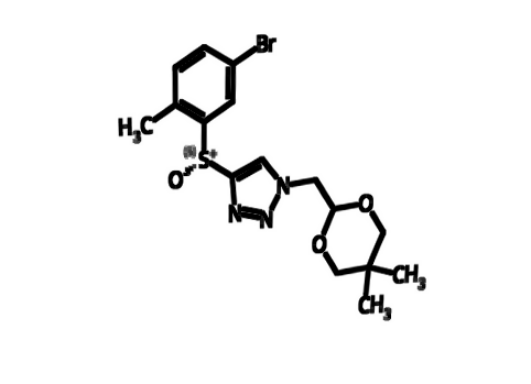 Cc1ccc(Br)cc1[S@@+]([O-])c1cn(CC2OCC(C)(C)CO2)nn1